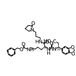 O=C(O)C[C@H](NC(=O)N[C@@H](CCCCNC(=O)OCc1ccccc1)C(=O)NCCCN1CCCC1=O)c1ccc2c(c1)OCO2